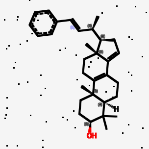 C[C@H](/C=C/c1ccccc1)[C@H]1CC=C2C3=C(CC[C@@]21C)[C@@]1(C)CC[C@H](O)C(C)(C)[C@@H]1CC3